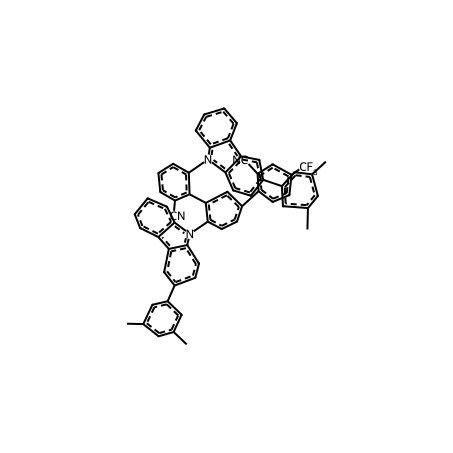 Cc1cc(C)cc(-c2ccc3c(c2)c2ccccc2n3-c2ccc(-c3ccc(C(F)(F)F)cc3C#N)cc2-c2c(C#N)cccc2-n2c3ccccc3c3cc(-c4cc(C)cc(C)c4)ccc32)c1